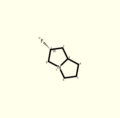 F[C@@H]1CC2CCCN2C1